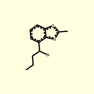 CCCC(Br)c1cccc2sc(C)nc12